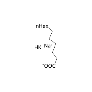 CCCCCCCCCCCC(=O)[O-].[KH].[Na+]